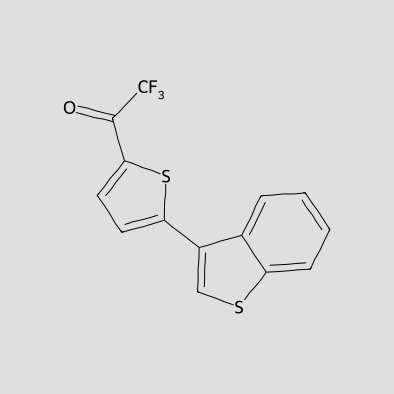 O=C(c1ccc(-c2csc3ccccc23)s1)C(F)(F)F